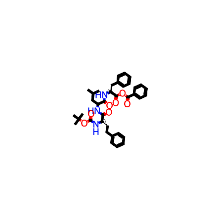 CC(C)CC(NC(=O)[C@H](CCc1ccccc1)NC(=O)OC(C)(C)C)C(=O)N[C@@H](Cc1ccccc1)C(=O)OC(=O)c1ccccc1